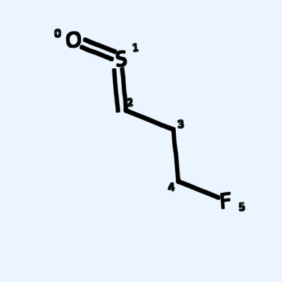 O=S=CCCF